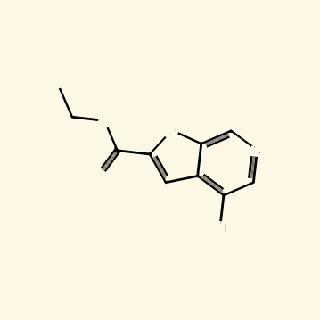 CCOC(=O)c1cc2c(Cl)cncc2o1